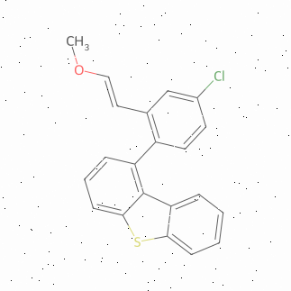 CO/C=C/c1cc(Cl)ccc1-c1cccc2sc3ccccc3c12